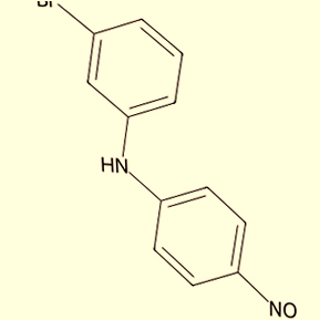 O=Nc1ccc(Nc2cccc(Br)c2)cc1